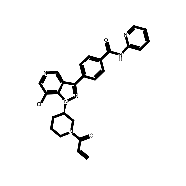 C=CC(=O)N1CCC[C@@H](n2nc(-c3ccc(C(=O)Nc4ccccn4)cc3)c3cncc(Cl)c32)C1